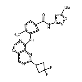 Cc1ccc(C(=O)Nc2cc(C(C)(C)C)on2)cc1Nc1ncnc2cnc(N3CC(F)(F)C3)nc12